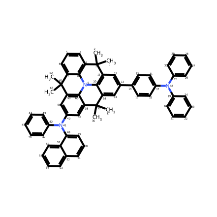 CC1(C)c2cccc3c2N2c4c1cc(-c1ccc(N(c5ccccc5)c5ccccc5)cc1)cc4C(C)(C)c1cc(N(c4ccccc4)c4cccc5ccccc45)cc(c12)C3(C)C